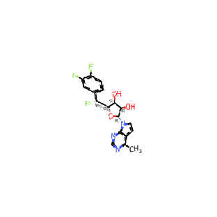 Cc1ncnc2c1ccn2[C@@H]1O[C@H]([C@H](F)c2ccc(F)c(F)c2)[C@@H](O)[C@H]1O